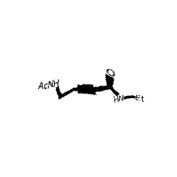 CCNC(=O)C#CCNC(C)=O